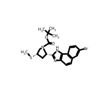 CS[C@H]1C[C@@H](c2nc3ccc4cc(Br)ccc4c3[nH]2)N(C(=O)OC(C)(C)C)C1